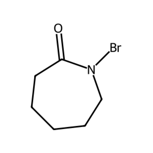 O=C1CCCCCN1Br